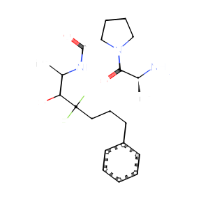 CC(C)C(NC(=O)[C@@H]1CCCN1C(=O)[C@@H](N)C(C)C)C(O)C(F)(F)CCCc1ccccc1